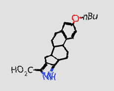 CCCCOc1ccc2c(c1)CCC1C2CCC2c3n[nH]c(C(=O)O)c3CC21